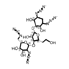 [N-]=[N+]=NC[C@@H]1O[C@H](O[C@H]2[C@@H](O)[C@H](O[C@H]3[C@H](O)C(N=[N+]=[N-])CC(N=[N+]=[N-])[C@@H]3O)O[C@@H]2CCO)C(N=[N+]=[N-])[C@@H](O)[C@@H]1O